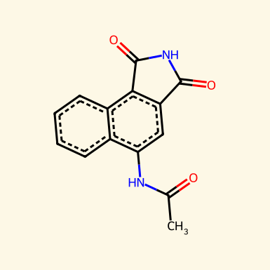 CC(=O)Nc1cc2c(c3ccccc13)C(=O)NC2=O